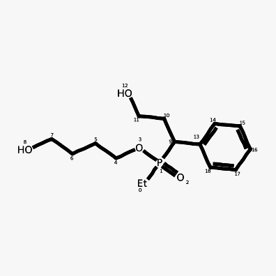 CCP(=O)(OCCCCO)C(CCO)c1ccccc1